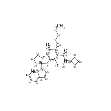 CCCCOc1c2n(c(CC3(n4ccc5cccnc54)CCCC3)nc1=O)CCN(C1CCC1)C2=O